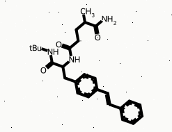 CC(C[CH]C(=O)NC(Cc1ccc(C=Cc2ccccc2)cc1)C(=O)NC(C)(C)C)C(N)=O